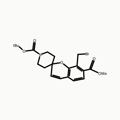 COC(=O)c1ccc2c(c1CBr)OC1(C=C2)CCN(C(=O)OC(C)(C)C)CC1